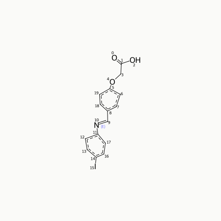 O=C(O)COc1ccc(/C=N/c2ccc(I)cc2)cc1